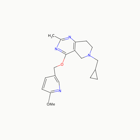 COc1ccc(COc2nc(C)nc3c2CN(CC2CC2)CC3)cn1